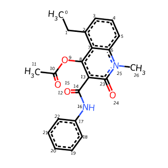 CCc1cccc2c1c(OC(C)=O)c(C(=O)Nc1ccccc1)c(=O)n2C